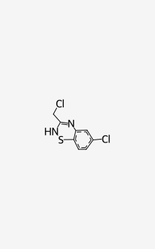 ClCC1=Nc2cc(Cl)ccc2SN1